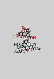 CC(=O)Oc1cc2c(cc1Cl)C(c1ccccc1C(=O)O)c1cc(Cl)c(OC(C)=O)cc1O2.O=C1OC2(c3ccc(O)cc3Oc3cc(O)ccc32)c2ccccc21